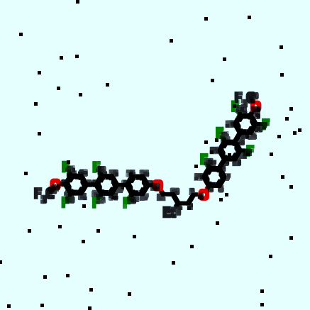 CCC(CCOc1ccc(-c2cc(F)c(-c3cc(F)c(OC(F)(F)F)c(F)c3)c(F)c2)c(F)c1)CCOc1ccc(-c2cc(F)c(-c3cc(F)c(OC(F)(F)F)c(F)c3)c(F)c2)c(F)c1